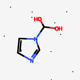 OC(O)n1ccnc1